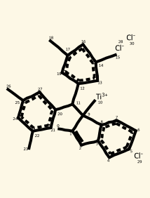 CC1=Cc2ccccc2[C]1([Ti+3])C(c1cc(C)cc(C)c1)c1cc(C)cc(C)c1.[Cl-].[Cl-].[Cl-]